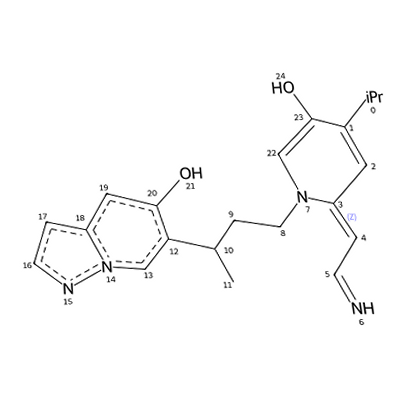 CC(C)C1=C/C(=C/C=N)N(CCC(C)c2cn3nccc3cc2O)C=C1O